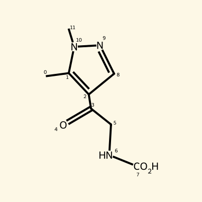 Cc1c(C(=O)CNC(=O)O)cnn1C